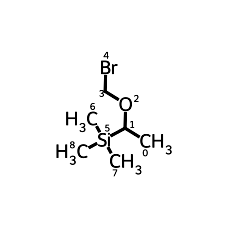 CC(OCBr)[Si](C)(C)C